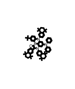 CC(C)(C)c1ccc2c(c1)B1c3oc4cc5c(cc4c3N(c3ccc4c(c3)C(C)(C)CCC4(C)C)c3cc(N(c4ccccc4)c4ccccc4)cc(c31)N2c1ccc2c(c1)C(C)(C)CCC2(C)C)C(C)(C)CCC5(C)C